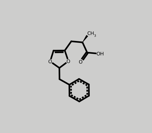 C[C@H](CC1=COC(Cc2ccccc2)O1)C(=O)O